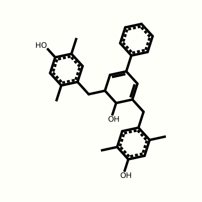 Cc1cc(CC2=CC(c3ccccc3)=CC(Cc3cc(C)c(O)cc3C)C2O)c(C)cc1O